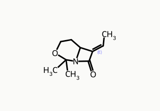 C/C=C1/C(=O)N2C1CCOC2(C)C